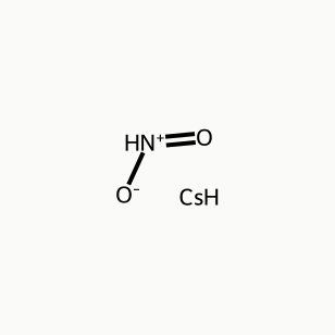 O=[NH+][O-].[CsH]